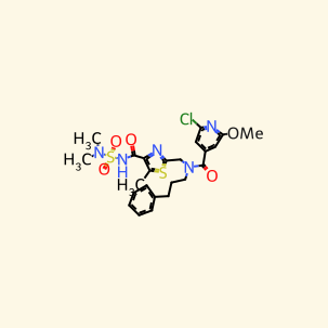 COc1cc(C(=O)N(CCCc2ccccc2)Cc2nc(C(=O)NS(=O)(=O)N(C)C)c(C)s2)cc(Cl)n1